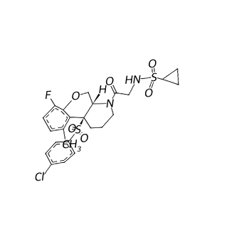 Cc1ccc(F)c2c1[C@@]1(S(=O)(=O)c3ccc(Cl)cc3)CCCN(C(=O)CNS(=O)(=O)C3CC3)[C@H]1CO2